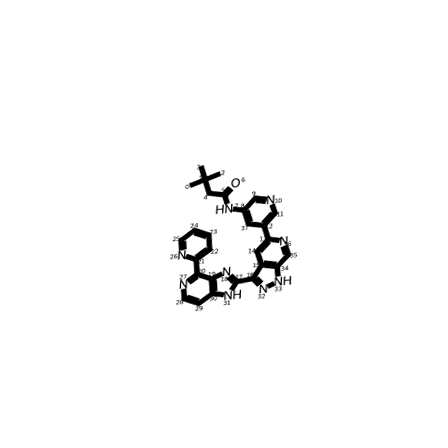 CC(C)(C)CC(=O)Nc1cncc(-c2cc3c(-c4nc5c(-c6ccccn6)nccc5[nH]4)n[nH]c3cn2)c1